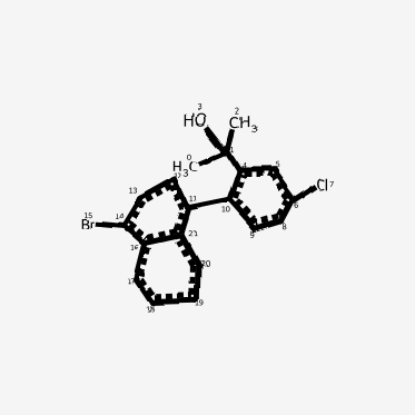 CC(C)(O)c1cc(Cl)ccc1-c1ccc(Br)c2ccccc12